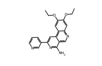 CCOc1cc2ncc3c(N)nc(-c4cccnc4)cc3c2cc1OCC